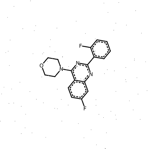 Fc1ccc2c(N3CCOCC3)nc(-c3ccccc3F)nc2c1